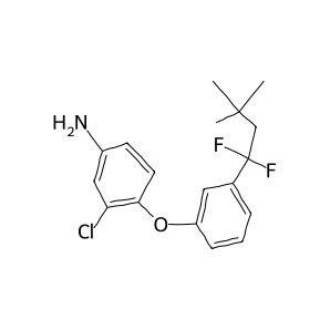 CC(C)(C)CC(F)(F)c1cccc(Oc2ccc(N)cc2Cl)c1